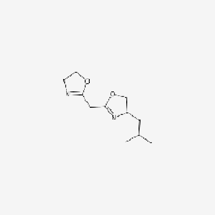 CC(C)CC1COC(CC2=NCCO2)=N1